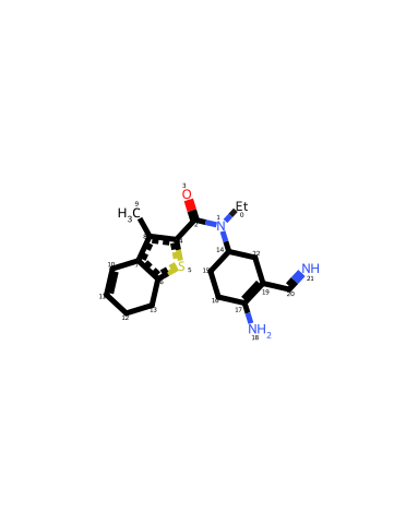 CCN(C(=O)c1sc2c(c1C)C=CCC2)C1CCC(N)=C(C=N)C1